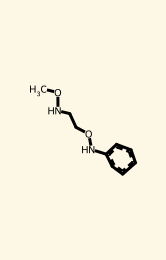 CONCCONc1ccccc1